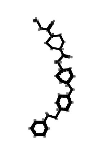 CC(C)(C)OC(=O)N1CCN(C(=O)Nc2ccc(Cc3ccc(COc4ccccc4)cc3)cc2)CC1